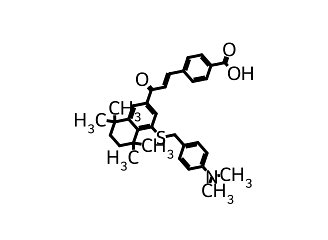 CN(C)c1ccc(CSc2cc(C(=O)C=Cc3ccc(C(=O)O)cc3)cc3c2C(C)(C)CCC3(C)C)cc1